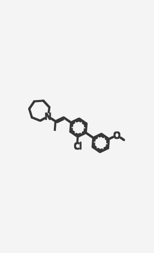 COc1cccc(-c2ccc(C=C(C)N3CCCCCC3)cc2Cl)c1